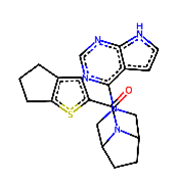 O=C(c1cc2c(s1)CCC2)N1C2CCC1CN(c1ncnc3[nH]ccc13)C2